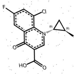 O=C(O)c1cn([C@@H]2C[C@H]2F)c2c(Cl)[c]c(F)cc2c1=O